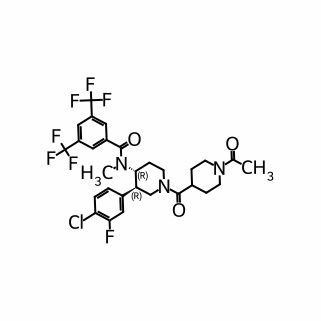 CC(=O)N1CCC(C(=O)N2CC[C@@H](N(C)C(=O)c3cc(C(F)(F)F)cc(C(F)(F)F)c3)[C@H](c3ccc(Cl)c(F)c3)C2)CC1